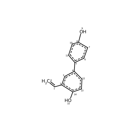 C=Cc1cc(-c2ccc(O)cc2)ccc1O